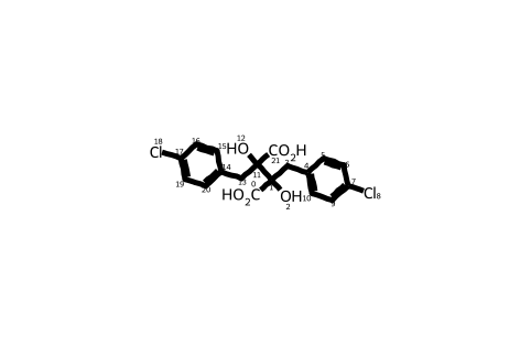 O=C(O)C(O)(Cc1ccc(Cl)cc1)C(O)(Cc1ccc(Cl)cc1)C(=O)O